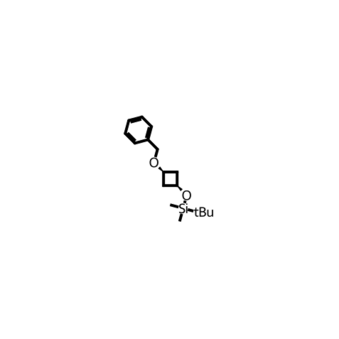 CC(C)(C)[Si](C)(C)O[C@H]1C[C@@H](OCc2ccccc2)C1